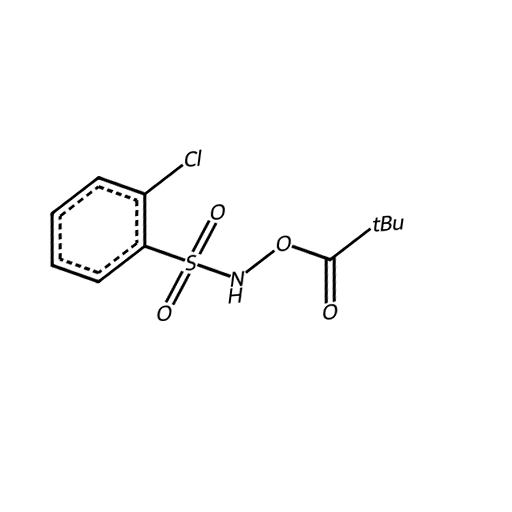 CC(C)(C)C(=O)ONS(=O)(=O)c1ccccc1Cl